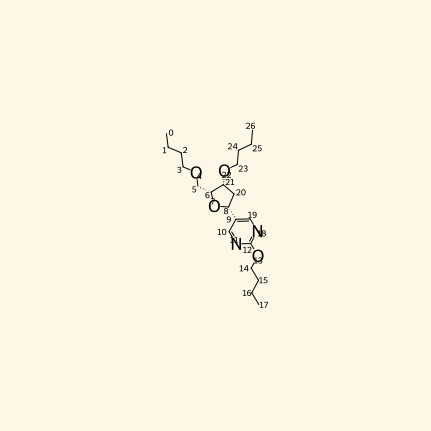 CCCCOC[C@H]1O[C@@H](c2cnc(OCCCC)nc2)C[C@H]1OCCCC